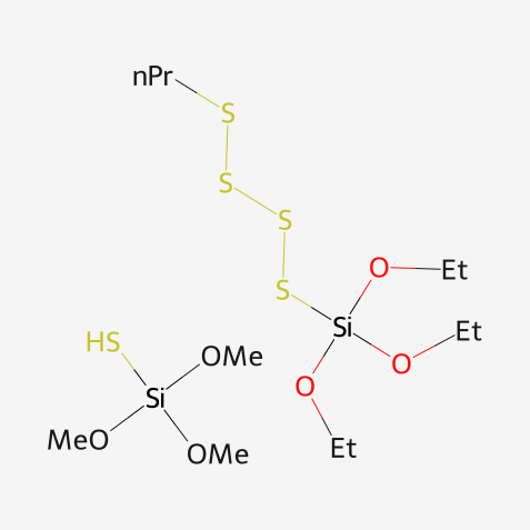 CCCSSSS[Si](OCC)(OCC)OCC.CO[Si](S)(OC)OC